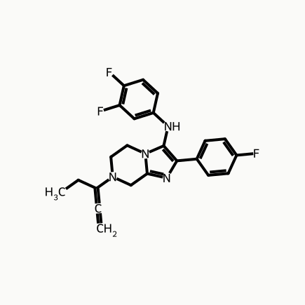 C=C=C(CC)N1CCn2c(nc(-c3ccc(F)cc3)c2Nc2ccc(F)c(F)c2)C1